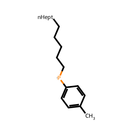 CCCCCCCCCCCC[P]c1ccc(C)cc1